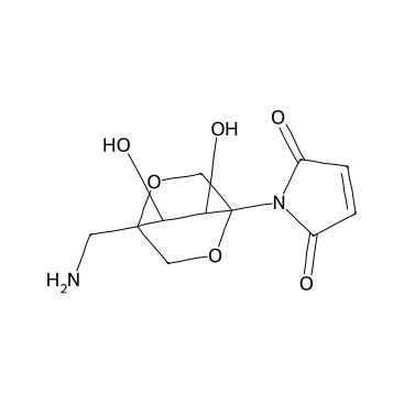 NCC12COC(N3C(=O)C=CC3=O)(CO1)C(O)C2O